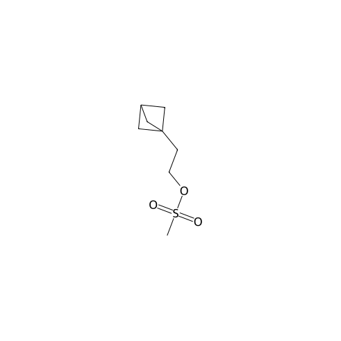 CS(=O)(=O)OCCC12CC(C1)C2